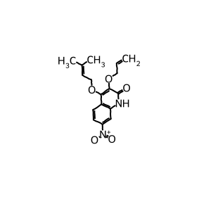 C=CCOc1c(OCC=C(C)C)c2ccc([N+](=O)[O-])cc2[nH]c1=O